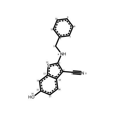 N#Cc1c(NCc2ccccc2)sc2cc(O)ccc12